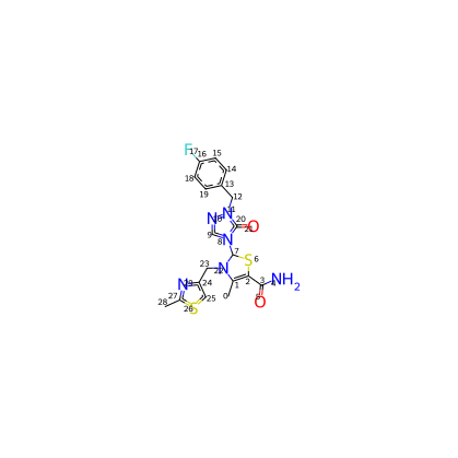 CC1=C(C(N)=O)SC(n2cnn(Cc3ccc(F)cc3)c2=O)N1Cc1csc(C)n1